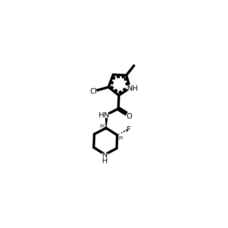 Cc1cc(Cl)c(C(=O)N[C@@H]2CCNC[C@H]2F)[nH]1